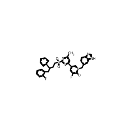 Cc1cc(-c2cc(F)c(=O)n(Cc3ccc4nc[nH]c4c3)c2)nc(S(=O)(=O)CCC(Cc2ccccc2F)c2ccccc2)n1